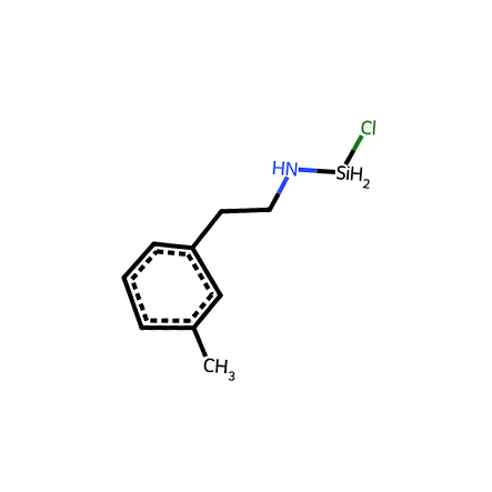 Cc1cccc(CCN[SiH2]Cl)c1